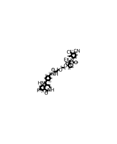 CC[C@H]1[C@@H]2[C@@H](OCCOCCC(=O)NCc3ccc(-c4[nH]c5cc(F)cc6c5c4CCNC6=O)cc3)CCN2C(=O)N1c1ccc(C#N)c(Cl)c1C